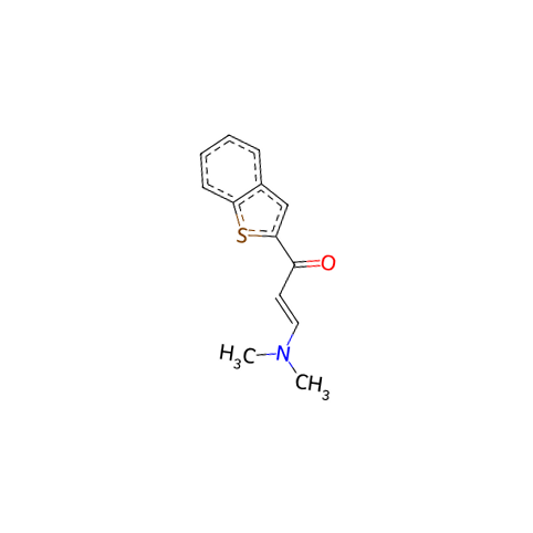 CN(C)C=CC(=O)c1cc2ccccc2s1